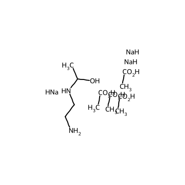 CC(=O)O.CC(=O)O.CC(=O)O.CC(=O)O.CC(O)NCCN.[NaH].[NaH].[NaH]